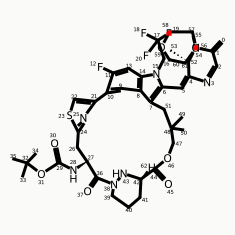 C=C(/C=N\C(=C\c1c2c3cc(c(F)cc3n1CC(F)(F)F)-c1csc(n1)C[C@H](NC(=O)OC(C)(C)C)C(=O)N1CCC[C@H](N1)C(=O)OCC(C)(C)C2)[C@H](C)OC)N1CCOCC1